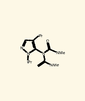 C=C(NC)N(C(=O)NC)c1c(C(C)C)cnn1C(C)C